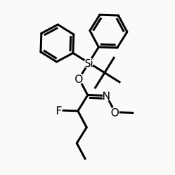 CCCC(F)C(=NOC)O[Si](c1ccccc1)(c1ccccc1)C(C)(C)C